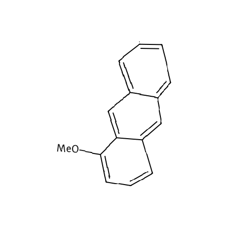 COc1cccc2cc3cc[c]cc3cc12